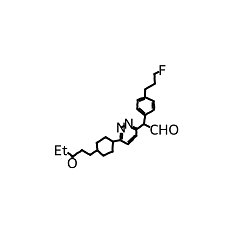 CCC(=O)CCC1CCC(c2ccc(C(C=O)c3ccc(CCCF)cc3)nn2)CC1